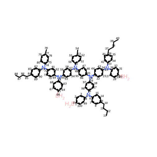 Bc1ccc(N(c2ccc(CCCC)cc2)c2ccc(N(c3ccc(N(c4ccc(B)cc4)c4ccc(CCCC)cc4)cc3)c3ccc(N(c4ccc(C)cc4)c4ccc(N(c5ccc(B)cc5)c5ccc(N(c6ccc(C)cc6)c6ccc(CCCC)cc6)cc5)cc4)cc3)cc2)cc1